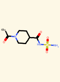 CC(C)(C)C(=O)N1CCC(C(=O)NS(N)(=O)=O)CC1